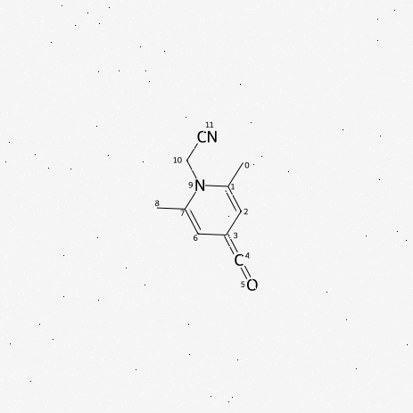 CC1=CC(=C=O)C=C(C)N1CC#N